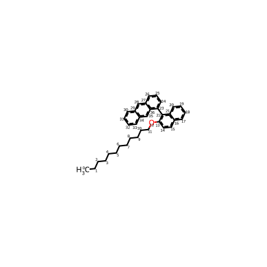 CCCCCCCCCCCCOc1ccc2ccccc2c1-c1cccc2cc3ccccc3cc12